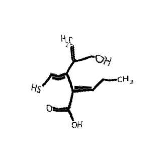 C=C(O)C(=C/S)/C(=C\CC)C(=O)O